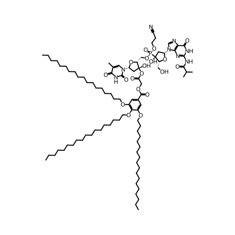 CCCCCCCCCCCCCCCCCCOc1cc(C(=O)OCC(=O)O[C@]2(O)C[C@H](n3cc(C)c(=O)[nH]c3=O)O[C@@H]2COP(=O)(OCCC#N)[C@]2(O)C[C@H](n3cnc4c(=O)[nH]c(NC(=O)C(C)C)nc43)O[C@@H]2CO)cc(OCCCCCCCCCCCCCCCCCC)c1OCCCCCCCCCCCCCCCCCC